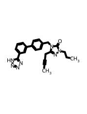 CC#CCc1nn(CCC)c(=O)n1Cc1ccc(-c2cccc(-c3nnn[nH]3)c2)cc1